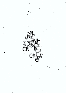 N#Cc1ccc(Cn2cncc2CN[C@@H]2CCN(Cc3cccc(Cl)c3Cl)C2=O)cc1